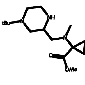 COC(=O)C1(N(C)CC2CN(C(C)(C)C)CCN2)CC1